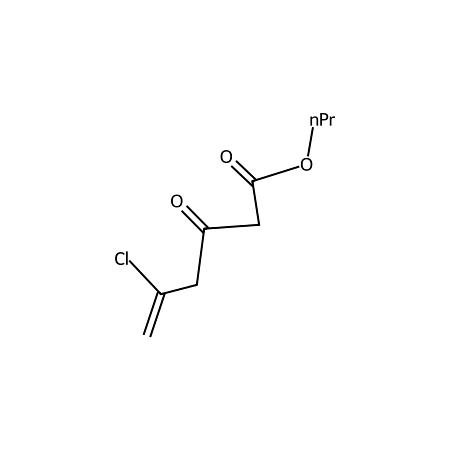 C=C(Cl)CC(=O)CC(=O)OCCC